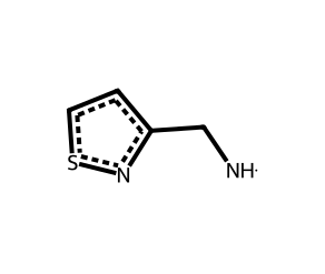 [NH]Cc1ccsn1